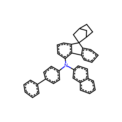 c1ccc(-c2ccc(N(c3ccc4ccccc4c3)c3cccc4c3-c3ccccc3C43CC4CCC3C4)cc2)cc1